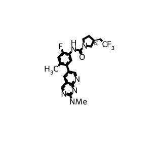 CNc1ncc2cc(-c3cc(NC(=O)N4CC[C@@H](CC(F)(F)F)C4)c(F)cc3C)cnc2n1